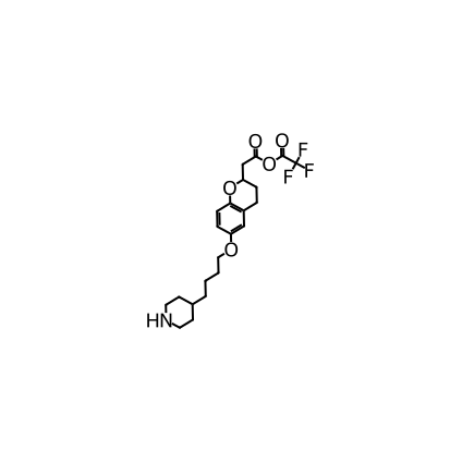 O=C(CC1CCc2cc(OCCCCC3CCNCC3)ccc2O1)OC(=O)C(F)(F)F